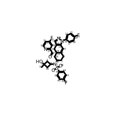 CC1(O)CC(N([C@H]2CCC3=Cc4c(cnn4-c4ccc(F)cc4)C[C@]3(C(=O)c3cc(F)ccn3)C2)S(=O)(=O)c2ccc(F)cc2)C1